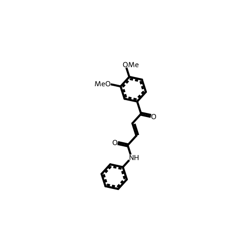 COc1ccc(C(=O)C=CC(=O)Nc2ccccc2)cc1OC